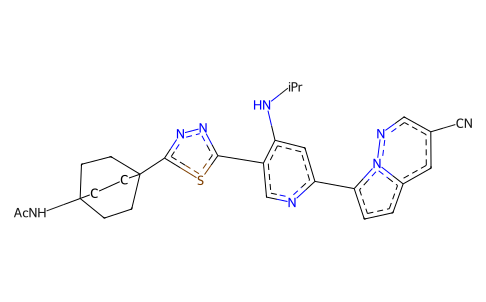 CC(=O)NC12CCC(c3nnc(-c4cnc(-c5ccc6cc(C#N)cnn56)cc4NC(C)C)s3)(CC1)CC2